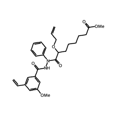 C=CCOC(CCCCCC(=O)OC)C(=O)N(NC(=O)c1cc(C=C)cc(OC)c1)c1ccccc1